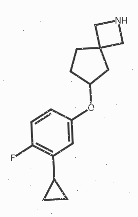 Fc1ccc(OC2CCC3(CNC3)C2)cc1C1CC1